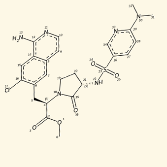 COC(=O)[C@@H](Cc1cc2ccnc(N)c2cc1Cl)N1CC[C@H](NS(=O)(=O)c2ccc(N(C)C)nc2)C1=O